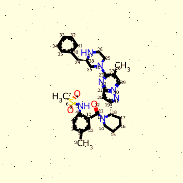 Cc1ccc(NS(C)(=O)=O)c(C(=O)N2CCCC[C@H]2c2cc3nc(N4CCN[C@H](Cc5ccccc5)C4)c(C)cn3n2)c1